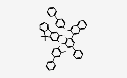 Cc1cc(-c2ccccc2)ccc1N1c2cc3c(cc2B2c4c(cc(-c5ccccc5)cc41)-c1cc4ccccc4cc1N2c1ccc(-c2ccccc2)cc1)-c1ccccc1C3(C)C